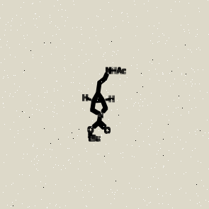 CC(=O)NCCC1[C@H]2CN(C(=O)OC(C)(C)C)C[C@@H]12